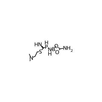 CN(C)CCSC(=N)PNB1OC(N)O1